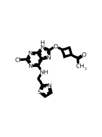 CC(=O)C1CC(Oc2nc3c(NCc4nccs4)nc(Cl)nc3[nH]2)C1